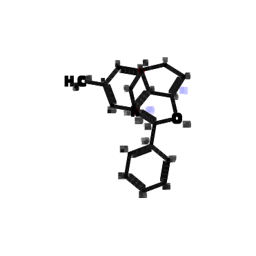 Cc1ccc(/C2=C\CCC/N=C(/c3ccccc3)O2)cc1